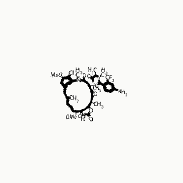 COc1cc2cc(c1Cl)N(C)C(=O)C[C@H](OC(=O)[C@H](C)N(C)C(=O)c1ccc(N)cc1C(F)(F)F)[C@]1(C)OC1[C@H](C)C1C[C@@](O)(NC(=O)O1)[C@H](OC)/C=C/C=C(\C)C2